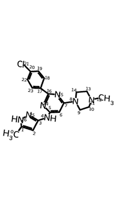 Cc1cc(Nc2cc(N3CCN(C)CC3)nc(-c3ccc(Cl)cc3)n2)n[nH]1